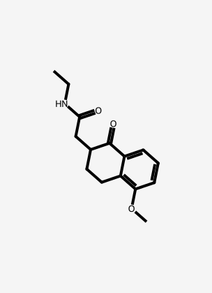 CCNC(=O)CC1CCc2c(OC)cccc2C1=O